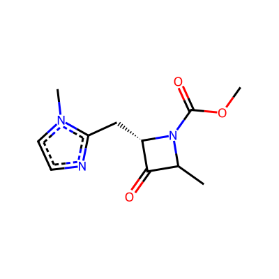 COC(=O)N1C(C)C(=O)[C@@H]1Cc1nccn1C